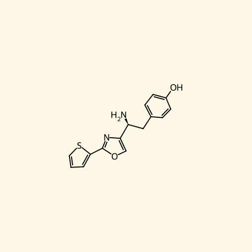 N[C@@H](Cc1ccc(O)cc1)c1coc(-c2cccs2)n1